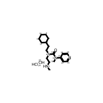 CNCCN(CCC1CCCCC1)C(=O)N(C)c1ccncc1.Cl.Cl